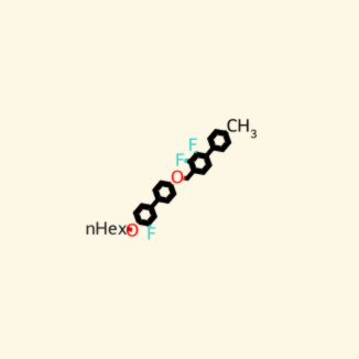 CCCCCCOc1ccc(-c2ccc(OCc3ccc(-c4ccc(C)cc4)c(F)c3F)cc2)cc1F